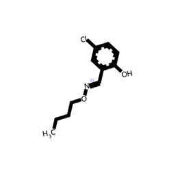 CCCCO/N=C/c1cc(Cl)ccc1O